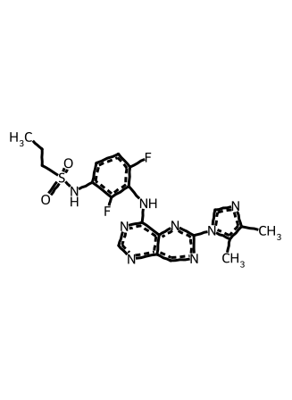 CCCS(=O)(=O)Nc1ccc(F)c(Nc2ncnc3cnc(-n4cnc(C)c4C)nc23)c1F